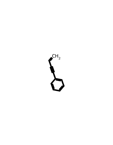 C=CC#Cc1ccccc1